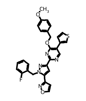 COc1ccc(COc2nc(-c3cc(-c4ccon4)n(Cc4ccccc4F)n3)ncc2-c2ccsc2)cc1